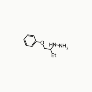 CCC(COc1ccccc1)NN